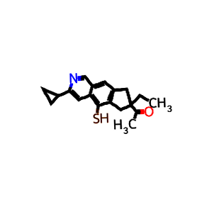 CCC1(C(C)=O)Cc2cc3cnc(C4CC4)cc3c(S)c2C1